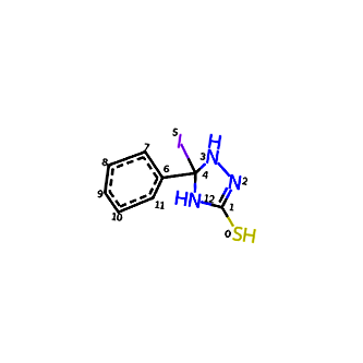 SC1=NNC(I)(c2ccccc2)N1